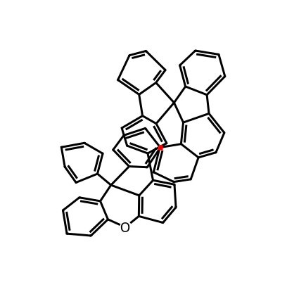 c1ccc(C2(c3ccccc3)c3ccccc3Oc3cccc(-c4ccc5c(c4)C4(c6ccccc6-5)c5ccccc5-c5ccc6ccccc6c54)c32)cc1